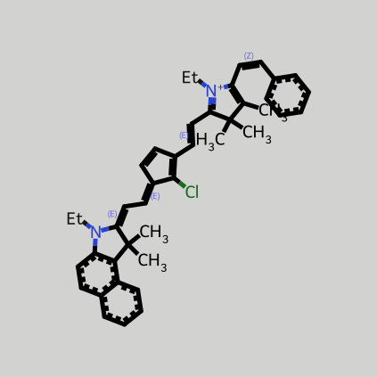 CCN1/C(=C/C=C2\C=CC(/C=C/C3=[N+](CC)C(/C=C\c4ccccc4)=C(C)C3(C)C)=C2Cl)C(C)(C)c2c1ccc1ccccc21